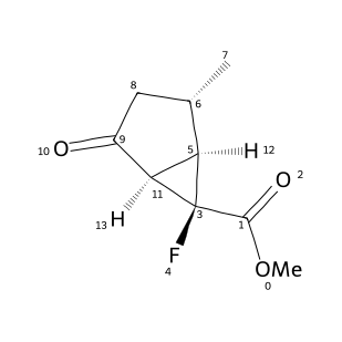 COC(=O)[C@@]1(F)[C@@H]2[C@@H](C)CC(=O)[C@@H]21